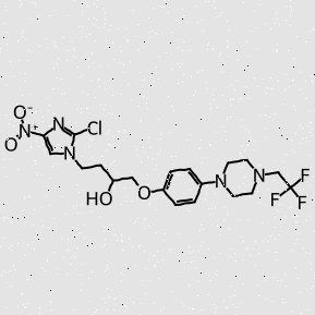 O=[N+]([O-])c1cn(CCC(O)COc2ccc(N3CCN(CC(F)(F)F)CC3)cc2)c(Cl)n1